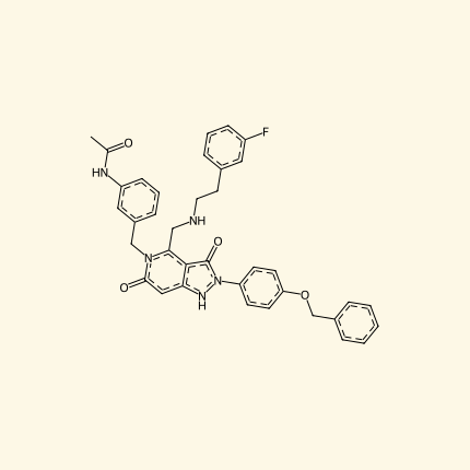 CC(=O)Nc1cccc(Cn2c(CNCCc3cccc(F)c3)c3c(=O)n(-c4ccc(OCc5ccccc5)cc4)[nH]c3cc2=O)c1